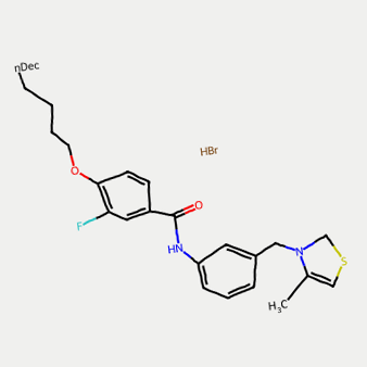 Br.CCCCCCCCCCCCCCOc1ccc(C(=O)Nc2cccc(CN3CSC=C3C)c2)cc1F